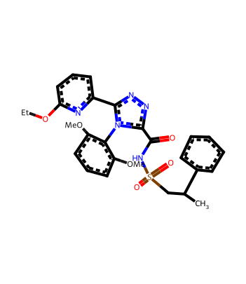 CCOc1cccc(-c2nnc(C(=O)NS(=O)(=O)CC(C)c3ccccc3)n2-c2c(OC)cccc2OC)n1